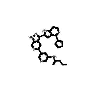 C=C(CCC)Nc1cncc(-c2cc3c(-c4cc5c(C6=CCC=C6)nccc5[nH]4)n[nH]c3cn2)c1